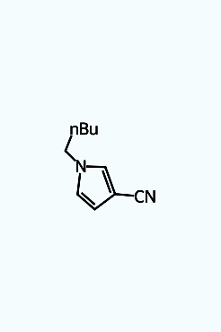 CCCCCn1ccc(C#N)c1